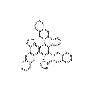 c1ccc2cc3c(cc2c1)c1c(c2c4cc5ccccc5cc4c4cccn4c2c2c4cc5ccccc5cc4c4cccn4c12)n1cccc31